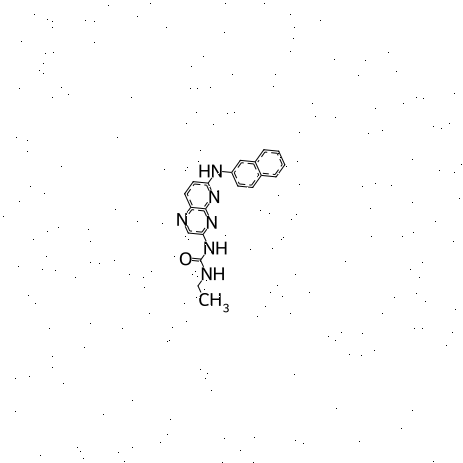 CCNC(=O)Nc1cnc2ccc(Nc3ccc4ccccc4c3)nc2n1